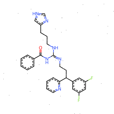 O=C(NC(=NCCC(c1cc(F)cc(F)c1)c1ccccn1)NCCCc1c[nH]cn1)c1ccccc1